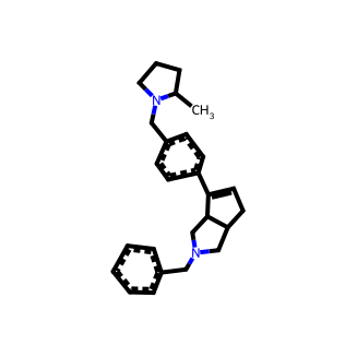 CC1CCCN1Cc1ccc(C2=CCC3CN(Cc4ccccc4)CC23)cc1